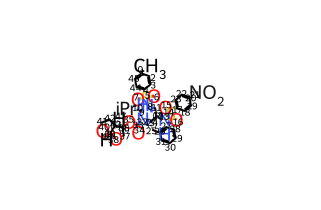 Cc1ccc(S(=O)(=O)N(CC(C)C)C[C@@H](NS(=O)(=O)c2ccc([N+](=O)[O-])cc2)[C@H](Cc2ccccc2)NC(=O)O[C@H]2CO[C@H]3OCC[C@H]32)cc1